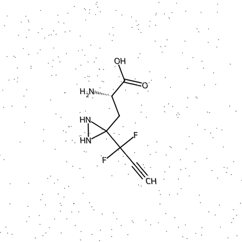 C#CC(F)(F)C1(C[C@H](N)C(=O)O)NN1